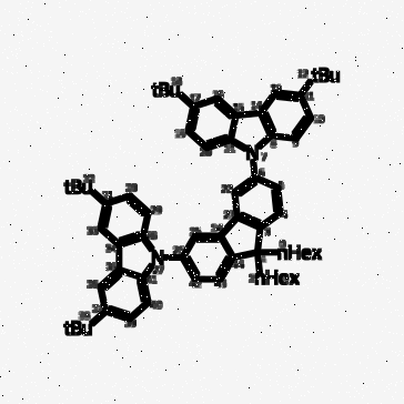 CCCCCCC1(CCCCCC)c2ccc(-n3c4ccc(C(C)(C)C)cc4c4cc(C(C)(C)C)ccc43)cc2-c2cc(-n3c4ccc(C(C)(C)C)cc4c4cc(C(C)(C)C)ccc43)ccc21